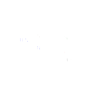 CC(C)Oc1cc2nc(N)sc2cc1Br